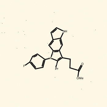 COC(=O)CCc1c(C(C)C)n(-c2ccc(F)cc2)c2cc3cc[nH]c3cc12